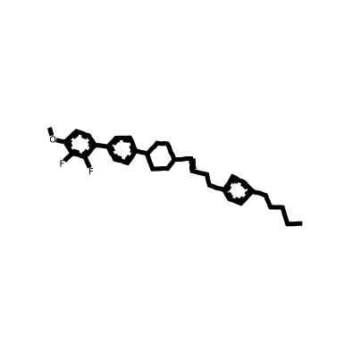 CCCCCc1ccc(CC/C=C/C2CCC(c3ccc(-c4ccc(OC)c(F)c4F)cc3)CC2)cc1